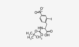 CC(C)(C)OC(=O)NC(Cc1ccc([N+](=O)[O-])cc1I)C(=O)O